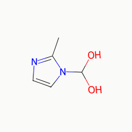 Cc1nccn1C(O)O